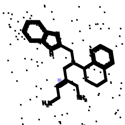 NC/C=C(\CN)CN(Cc1nc2ccccc2[nH]1)C1CCCc2cccnc21